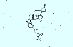 CCc1nc2ccc(C3CCN(C(=O)OC(C)(C)C)CC3)nn2c1NCc1nc(-c2ccc(F)cc2C#N)cs1